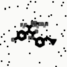 CC(C(C(=O)Nc1cccc(CC2CC2)c1)c1ccc(Cl)cc1)C(F)(F)F.O=C(O)O